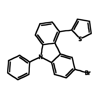 Brc1ccc2c(c1)c1c(-c3cccs3)cccc1n2-c1ccccc1